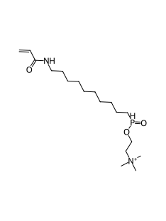 C=CC(=O)NCCCCCCCCCC[PH](=O)OCC[N+](C)(C)C